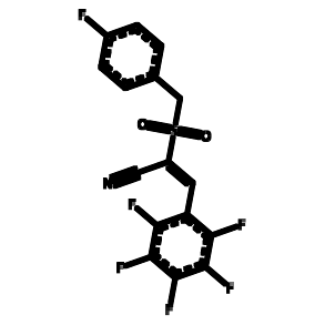 N#CC(=Cc1c(F)c(F)c(F)c(F)c1F)S(=O)(=O)Cc1ccc(F)cc1